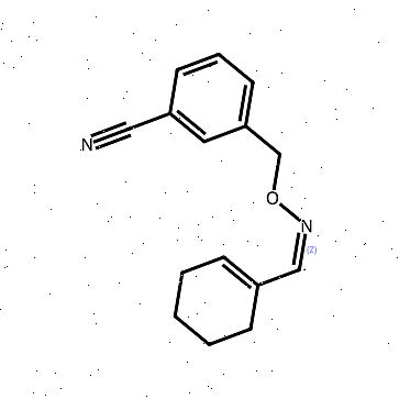 N#Cc1cccc(CO/N=[C]\C2=CCCCC2)c1